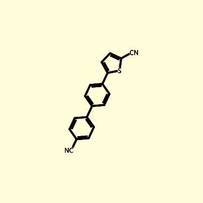 N#Cc1ccc(-c2ccc(-c3ccc(C#N)s3)cc2)cc1